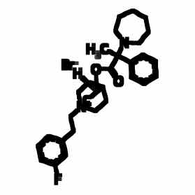 CC(C(=O)O[C@H]1C[N+]2(CCc3cccc(F)c3)CCC1CC2)(c1ccccc1)N1CCCCCC1.[Br-]